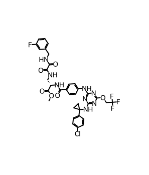 COC(=O)[C@H](CNC(=O)C(=O)NCc1cccc(F)c1)NC(=O)c1ccc(Nc2nc(NC3(c4ccc(Cl)cc4)CC3)nc(OCC(F)(F)F)n2)cc1